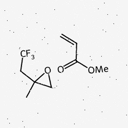 C=CC(=O)OC.CC1(CC(F)(F)F)CO1